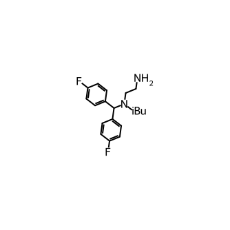 CCC(C)N(CCN)C(c1ccc(F)cc1)c1ccc(F)cc1